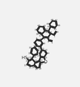 C=Cc1c(C=C)c(-c2cccc(-c3ccc4oc5ccc6ccc(S)c(-c7ccccc7)c6c5c4c3)c2)c2ccccc2c1C1=CC=CCC1